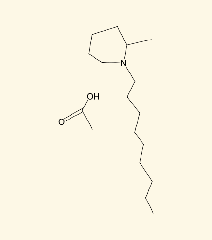 CC(=O)O.CCCCCCCCCN1CCCCC1C